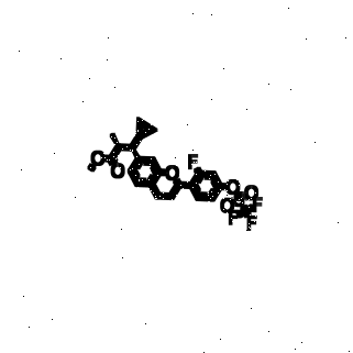 COC(=O)[C@@H](C)[C@H](c1ccc2c(c1)OC(c1ccc(OS(=O)(=O)C(F)(F)F)cc1F)CC2)C1CC1